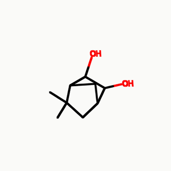 CC1(C)CC2CC1C(O)C2O